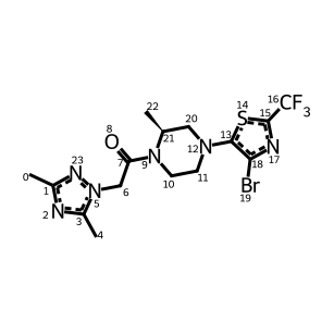 Cc1nc(C)n(CC(=O)N2CCN(c3sc(C(F)(F)F)nc3Br)C[C@@H]2C)n1